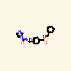 O=C(OCc1ccccc1)c1ccc(CNC(=O)n2ccnc2)cc1